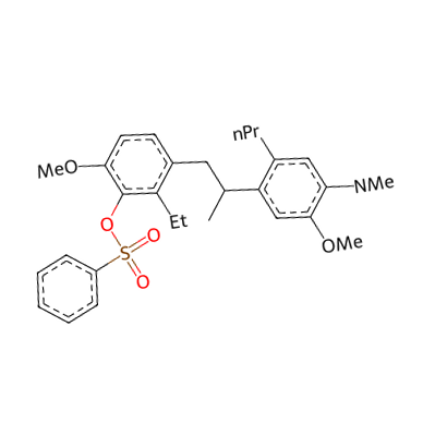 CCCc1cc(NC)c(OC)cc1C(C)Cc1ccc(OC)c(OS(=O)(=O)c2ccccc2)c1CC